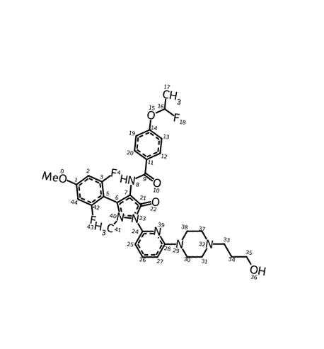 COc1cc(F)c(-c2c(NC(=O)c3ccc(OC(C)F)cc3)c(=O)n(-c3cccc(N4CCN(CCCO)CC4)n3)n2C)c(F)c1